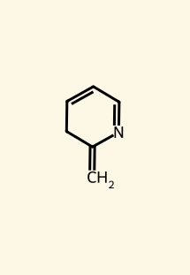 C=C1CC=CC=N1